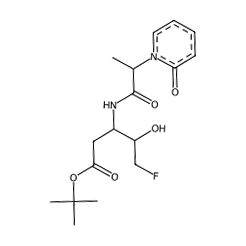 CC(C(=O)NC(CC(=O)OC(C)(C)C)C(O)CF)n1ccccc1=O